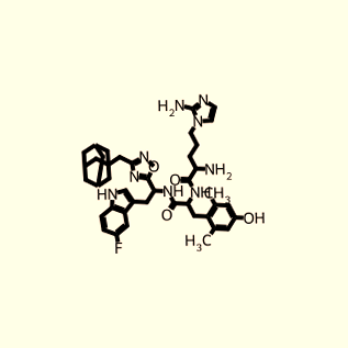 Cc1cc(O)cc(C)c1CC(NC(=O)C(N)CCCn1ccnc1N)C(=O)NC(Cc1c[nH]c2ccc(F)cc12)c1nc(CC23CC4CC(CC(C4)C2)C3)no1